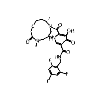 C[C@H]1CCCCC(=O)N(C)C[C@H]2CN1C(=O)c1c(O)c(=O)c(C(=O)NCc3c(F)cc(F)cc3F)cn12